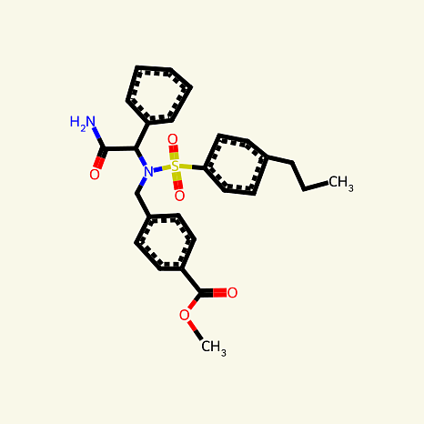 CCCc1ccc(S(=O)(=O)N(Cc2ccc(C(=O)OC)cc2)C(C(N)=O)c2ccccc2)cc1